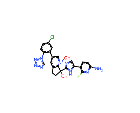 Nc1ccc(-c2cnc(C3(O)CCc4cc(-c5cc(Cl)ccc5-n5cnnn5)c[n+](O)c43)[nH]2)c(F)n1